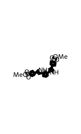 COS(=O)(=O)c1ccc(-c2c[nH]c(-c3cccc(-c4cc(-c5ccc(S(=O)(=O)OC)cc5)c[nH]4)c3)c2)cc1